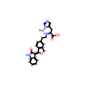 Cn1cncc1CC(NCCc1ccc2c(c1)COC2=C1C(=O)Nc2ccccc21)C(=O)O